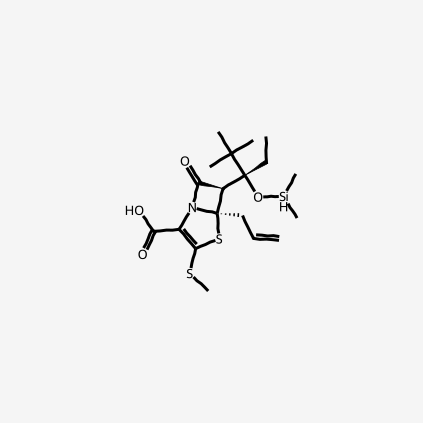 C=CC[C@]12SC(SC)=C(C(=O)O)N1C(=O)[C@H]2[C@@](CC)(O[SiH](C)C)C(C)(C)C